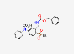 CCS(=O)(=O)c1ccc(N(C(=O)O)c2ccccc2)cc1CNC(=O)OCc1ccccc1